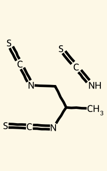 CC(CN=C=S)N=C=S.N=C=S